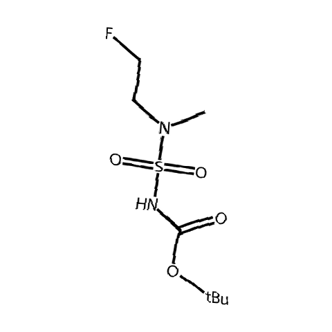 CN(CCF)S(=O)(=O)NC(=O)OC(C)(C)C